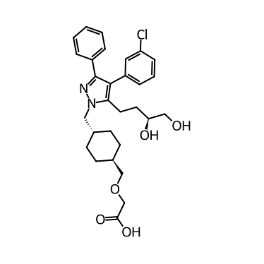 O=C(O)COC[C@H]1CC[C@H](Cn2nc(-c3ccccc3)c(-c3cccc(Cl)c3)c2CC[C@H](O)CO)CC1